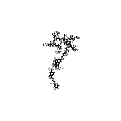 COC(=O)[C@H](CNC(=O)c1ccc2c(cnn2CCCNc2ccccn2)c1)NS(=O)(=O)c1c(C)cc(OCCCC(=O)NCCNC(=O)C(CCC(=O)OC(C)(C)C)NC(=O)[C@H](CCC(=O)OC(C)(C)C)NC(=O)CN2CCN(CC(=O)OC(C)(C)C)CCN(CC(=O)OC(C)(C)C)CCN(CC(=O)OC(C)(C)C)CC2)cc1C